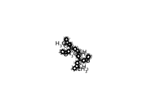 CC1(C)c2ccccc2-c2ccc(N(c3ccc(C4(C)c5cc(N(c6ccc7c(c6)C(C)(C)c6ccccc6-7)c6ccc7oc8ccccc8c7c6)ccc5CC4(C)C)cc3)c3ccc4oc5ccccc5c4c3)cc21